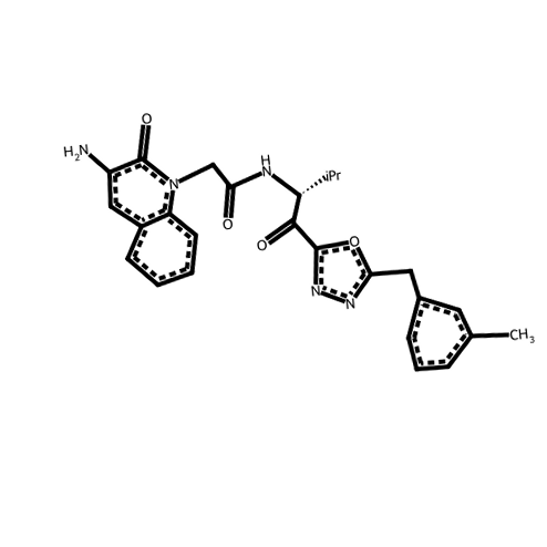 Cc1cccc(Cc2nnc(C(=O)[C@H](NC(=O)Cn3c(=O)c(N)cc4ccccc43)C(C)C)o2)c1